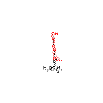 CC(C)CCCC(C)CCCC1CCCC(C(CO)OCCOCCOCCOCCOCCOCCOCCOCCOCCO)C1